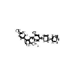 Cc1onc(-c2ccc(Cl)nc2)c1Cn1ncc(N2CCN(c3ccnnc3)CC2)cc1=O